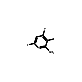 Nc1nc(F)cc(Cl)c1F